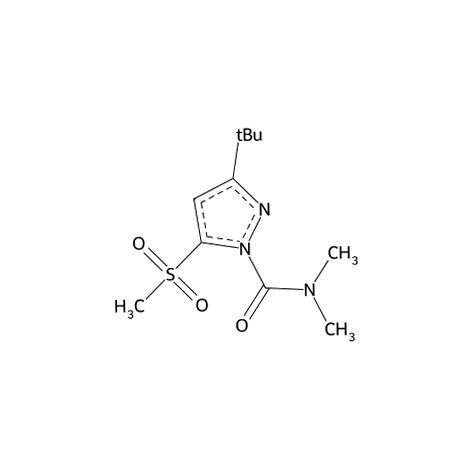 CN(C)C(=O)n1nc(C(C)(C)C)cc1S(C)(=O)=O